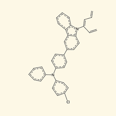 C=C/C=C(\C=C)n1c2ccccc2c2cc(-c3ccc(N(c4ccccc4)c4ccc(Cl)cc4)cc3)ccc21